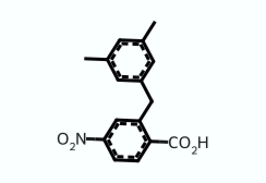 Cc1cc(C)cc(Cc2cc([N+](=O)[O-])ccc2C(=O)O)c1